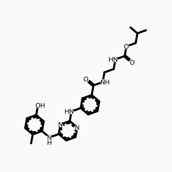 Cc1ccc(O)cc1Nc1ccnc(Nc2cccc(C(=O)NCCNC(=O)OCC(C)C)c2)n1